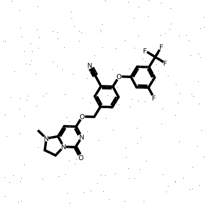 CN1CCn2c1cc(OCc1ccc(Oc3cc(F)cc(C(F)(F)F)c3)c(C#N)c1)nc2=O